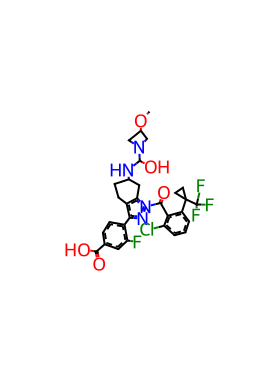 COC1CN(C(O)NC2CCc3c(-c4ccc(C(=O)O)cc4F)nn(C(=O)c4c(Cl)cccc4C4(C(F)(F)F)CC4)c3C2)C1